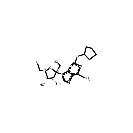 Nc1nc(OC2CCCC2)nc2c1ncn2[C@@]1(CO)O[C@H](CF)[C@@H](O)[C@H]1O